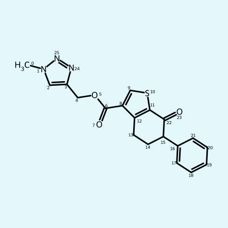 Cn1cc(COC(=O)c2csc3c2CCC(c2ccccc2)C3=O)nn1